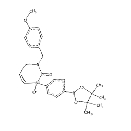 COc1ccc(CN2CC=C[N+]([O-])(c3ccc(B4OC(C)(C)C(C)(C)O4)cc3)C2=O)cc1